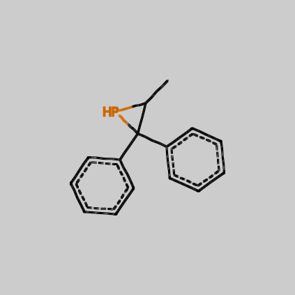 CC1PC1(c1ccccc1)c1ccccc1